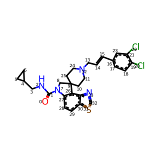 O=C(NCC1CC1)N1CC2(CCN(CC=Cc3ccc(Cl)c(Cl)c3)CC2)c2c1ccc1scnc21